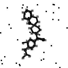 Cc1cc(C(=O)N2CCC3(CCc4ccccc4O3)CC2)ccc1OC(C)C